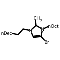 CCCCCCCCCCCCN1C=C(Br)N(CCCCCCCC)C1C